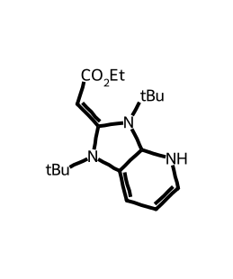 CCOC(=O)C=C1N(C(C)(C)C)C2=CC=CNC2N1C(C)(C)C